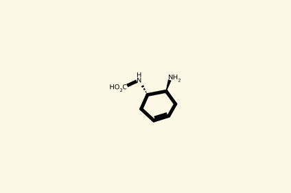 N[C@H]1CC=CC[C@@H]1NC(=O)O